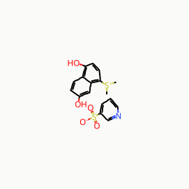 C[S+](C)c1ccc(O)c2ccc(O)cc12.O=S(=O)([O-])c1cccnc1